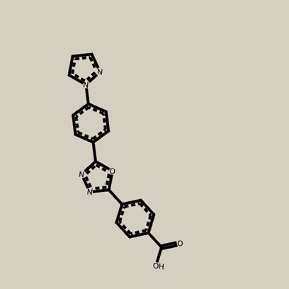 O=C(O)c1ccc(-c2nnc(-c3ccc(-n4cccn4)cc3)o2)cc1